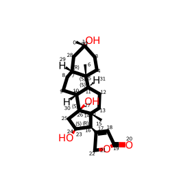 C[C@@]1(O)CC[C@@]2(C)[C@H](CC[C@@H]3[C@@H]2CC[C@]2(C)[C@@H](C4=CC(=O)OC4)[C@@H](O)C[C@]32O)C1